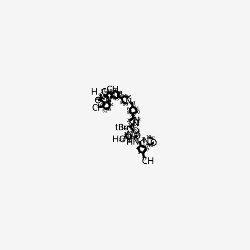 C#Cc1ccc([C@H](CN2CCOCC2)NC(=O)[C@@H]2C[C@@H](O)CN2C(=O)[C@@H](n2cc(C3CCC(CN4CCC(c5ccc6c(c5)-n5c(nc(=O)c7c(Cl)cccc75)C6(C)C)CC4)CC3)nn2)C(C)(C)C)cc1